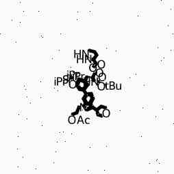 CC(=O)OCCCn1cc(C2CCOCC2)c2ccc(-c3cc(C[C@H](NC(=O)OC(C)(C)C)C(=O)OC(=O)C4CCCNN4)cc(O[Si](C(C)C)(C(C)C)C(C)C)c3)cc21